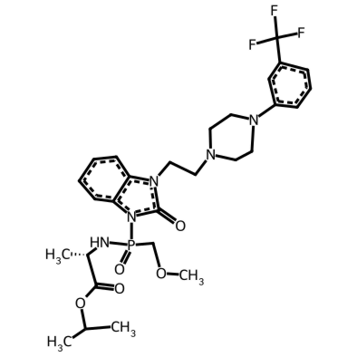 COCP(=O)(N[C@@H](C)C(=O)OC(C)C)n1c(=O)n(CCN2CCN(c3cccc(C(F)(F)F)c3)CC2)c2ccccc21